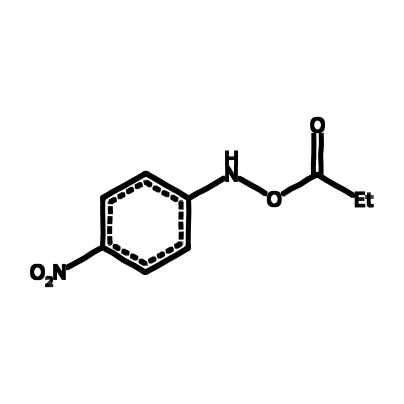 CCC(=O)ONc1ccc([N+](=O)[O-])cc1